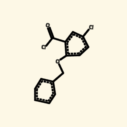 O=C(Cl)c1cc(Cl)ccc1OCc1ccccc1